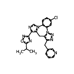 CC(C)c1nc(-c2ncn3c2Cc2c(Cc4cccnc4)nnn2-c2cc(Cl)ccc2-3)no1